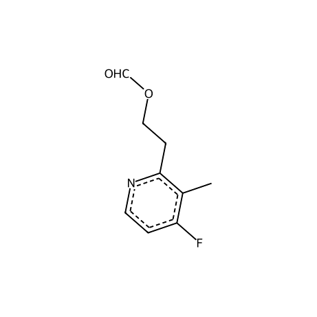 Cc1c(F)ccnc1CCOC=O